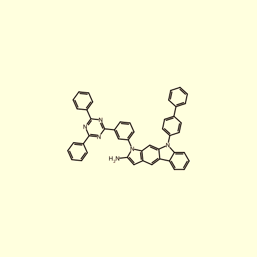 Nc1cc2cc3c4ccccc4n(-c4ccc(-c5ccccc5)cc4)c3cc2n1-c1cccc(-c2nc(-c3ccccc3)nc(-c3ccccc3)n2)c1